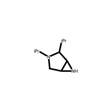 CC(C)C1C2NC2CN1C(C)C